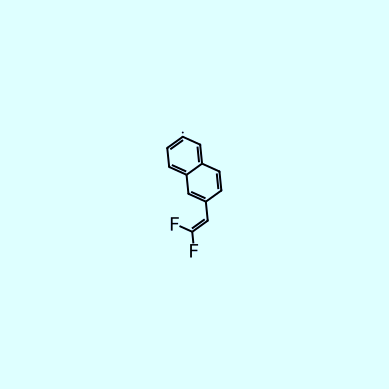 FC(F)=Cc1ccc2c[c]ccc2c1